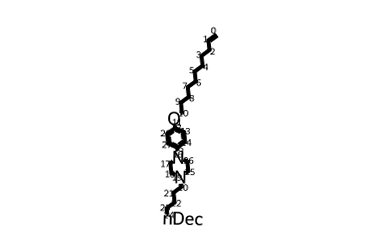 C=CCCCCCCCCCOc1ccc(N2CCN(CCCCCCCCCCCCCC)CC2)cc1